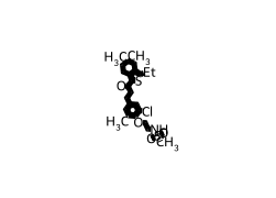 CCc1sc(C(=O)CCc2cc(C)c(OCCNS(C)(=O)=O)c(Cl)c2)c2c1CC(C)(C)CC2